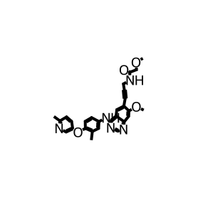 COCC(=O)NCC#Cc1cc2c(Nc3ccc(Oc4ccc(C)nc4)c(C)c3)ncnc2cc1OC